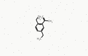 C=C(C)c1cc(CC)ccc1CC